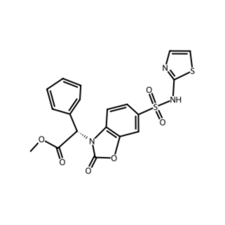 COC(=O)[C@H](c1ccccc1)n1c(=O)oc2cc(S(=O)(=O)Nc3nccs3)ccc21